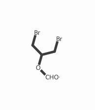 O=[C]OC(CBr)CBr